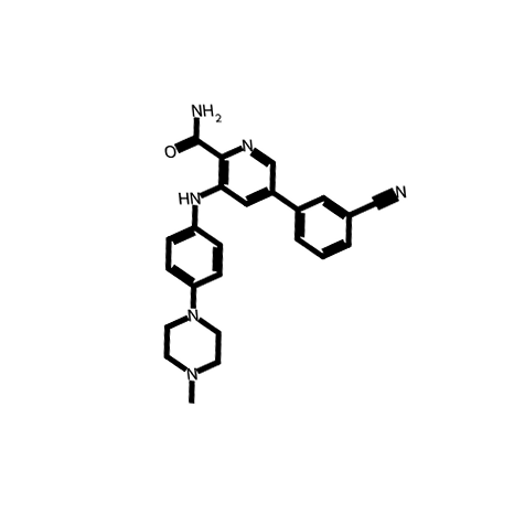 CN1CCN(c2ccc(Nc3cc(-c4cccc(C#N)c4)cnc3C(N)=O)cc2)CC1